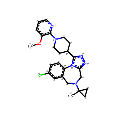 FC(F)(F)Oc1cccnc1N1CCC(c2nnc3n2-c2ccc(Cl)cc2CN(C2(C(F)(F)F)CC2)C3)CC1